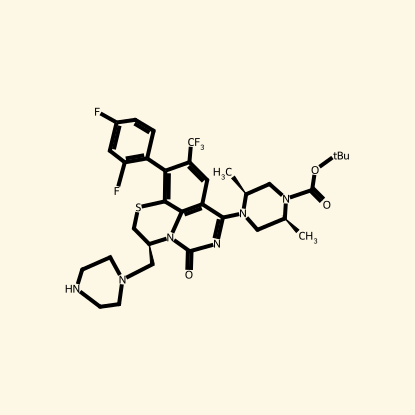 C[C@H]1CN(c2nc(=O)n3c4c(c(-c5ccc(F)cc5F)c(C(F)(F)F)cc24)SC[C@@H]3CN2CCNCC2)[C@@H](C)CN1C(=O)OC(C)(C)C